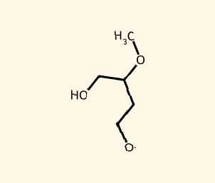 COC(CO)CC[O]